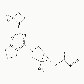 NC12CN(c3nc(N4CCC45CC5)nc4c3CCC4)CC1C2CC(=O)N=O